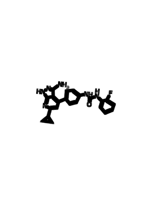 Nc1n[nH]c2nc(C3CC3)cc(-c3ccc(NC(=O)Nc4ccccc4F)cc3)c12